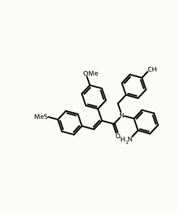 [CH]c1ccc(CN(C(=O)C(=Cc2ccc(SC)cc2)c2ccc(OC)cc2)c2ccccc2N)cc1